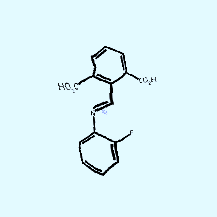 O=C(O)c1cccc(C(=O)O)c1/C=N/c1ccccc1F